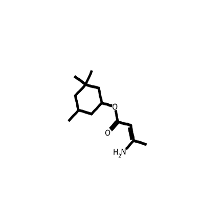 C/C(N)=C/C(=O)OC1CC(C)CC(C)(C)C1